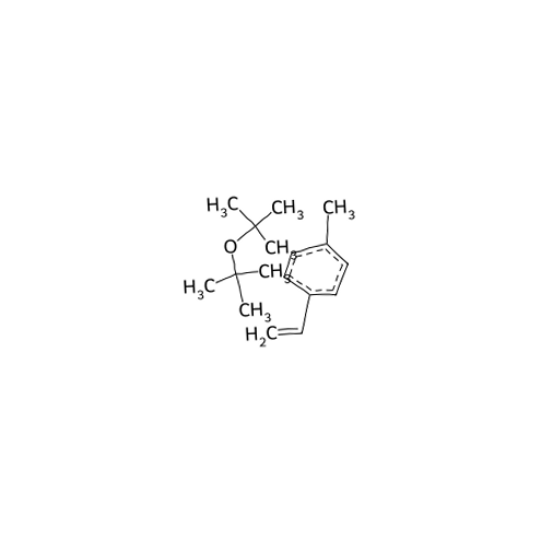 C=Cc1ccc(C)cc1.CC(C)(C)OC(C)(C)C